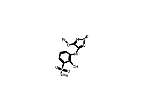 CCOc1n[s+]([O-])nc1Nc1cccc(S(=O)(=O)NC)c1O